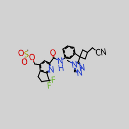 Cn1cnnc1C1(c2cccc(NC(=O)c3cc(COS(C)(=O)=O)c4c(n3)C(F)(F)CC4)c2)CC(CC#N)C1